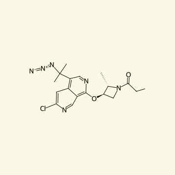 CCC(=O)N1C[C@@H](Oc2ncc(C(C)(C)N=[N+]=[N-])c3cc(Cl)ncc23)[C@@H]1C